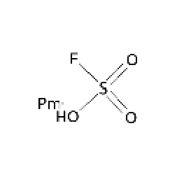 O=S(=O)(O)F.[Pm]